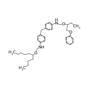 CCCCCC(CCCC)OCNc1ccc(Cc2ccc(NCOC(CC)COc3ccccc3)cc2)cc1